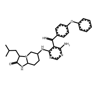 CC(C)CC1C(=O)NC2CCC(Nc3ncnc(N)c3C(=N)c3ccc(Oc4ccccc4)cc3)CN21